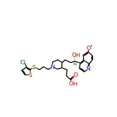 COc1ccc2nccc([C@@H](O)CCC3CCN(CCCSc4sccc4Cl)CC3CCC(=O)O)c2c1